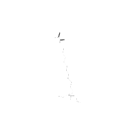 C=C(C)C(=O)OCCCCCCCCCCC[Si](C)(OCC)OCC